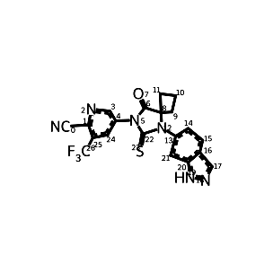 N#Cc1ncc(N2C(=O)C3(CCC3)N(c3ccc4cn[nH]c4c3)C2=S)cc1C(F)(F)F